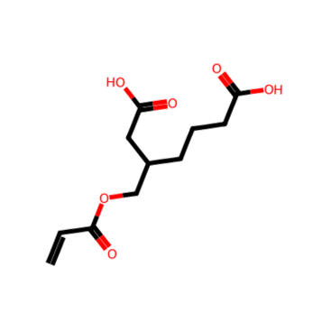 C=CC(=O)OCC(CCCC(=O)O)CC(=O)O